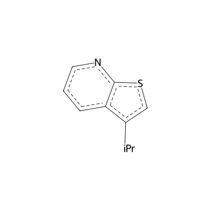 CC(C)c1csc2ncccc12